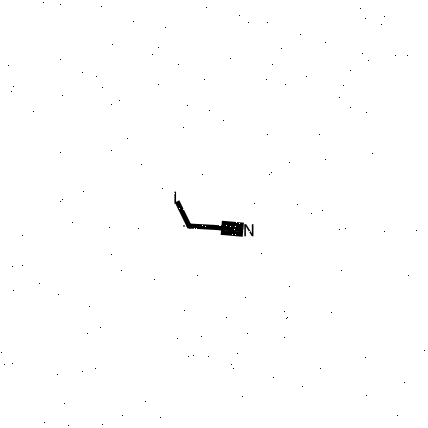 N#C[CH]I